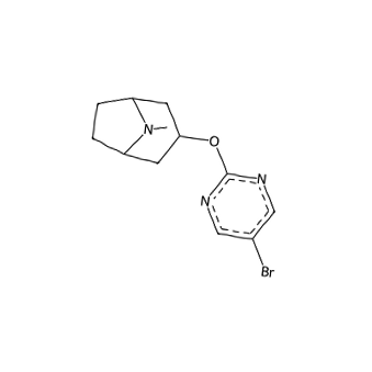 CN1C2CCC1CC(Oc1ncc(Br)cn1)C2